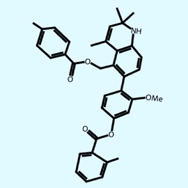 COc1cc(OC(=O)c2ccccc2C)ccc1-c1ccc2c(c1COC(=O)c1ccc(C)cc1)C(C)=CC(C)(C)N2